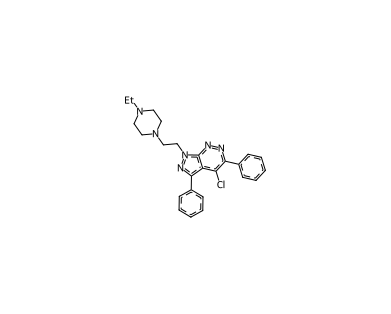 CCN1CCN(CCn2nc(-c3ccccc3)c3c(Cl)c(-c4ccccc4)nnc32)CC1